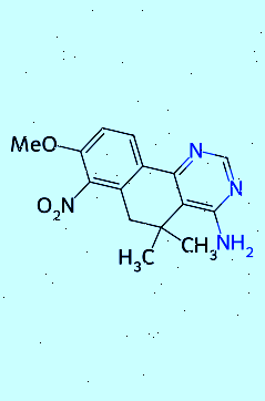 COc1ccc2c(c1[N+](=O)[O-])CC(C)(C)c1c(N)ncnc1-2